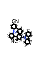 N#Cc1ccc2c(c1)c1ccccc1n2-c1ccccc1-c1ccc(-n2c3ccccc3c3ccccc32)cc1C#N